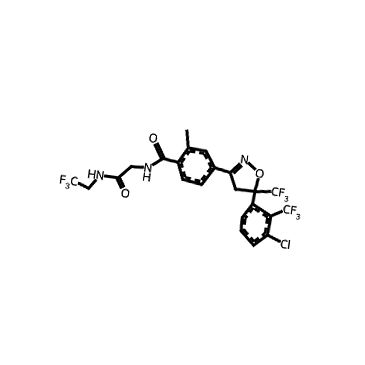 Cc1cc(C2=NOC(c3cccc(Cl)c3C(F)(F)F)(C(F)(F)F)C2)ccc1C(=O)NCC(=O)NCC(F)(F)F